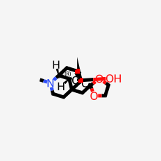 CN1CCC23CC4(CC[C@H]2[C@H]1Cc1ccc(O)cc13)OCCO4